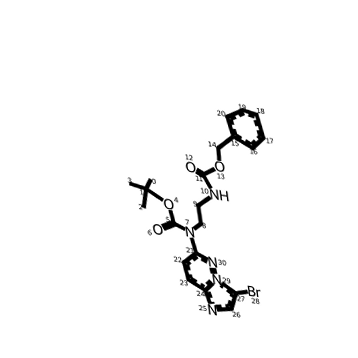 CC(C)(C)OC(=O)N(CCNC(=O)OCc1ccccc1)c1ccc2ncc(Br)n2n1